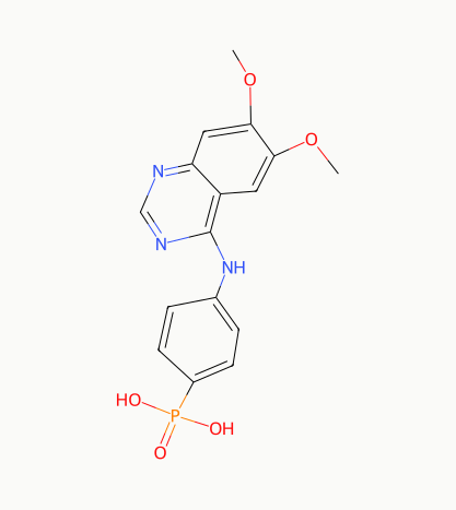 COc1cc2ncnc(Nc3ccc(P(=O)(O)O)cc3)c2cc1OC